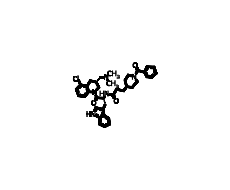 CN(C)C[C@H]1Cc2c(Cl)cccc2N(C(=O)[C@@H](Cc2c[nH]c3ccccc23)NC(=O)CCC2CCN(C(=O)c3ccccc3)CC2)C1